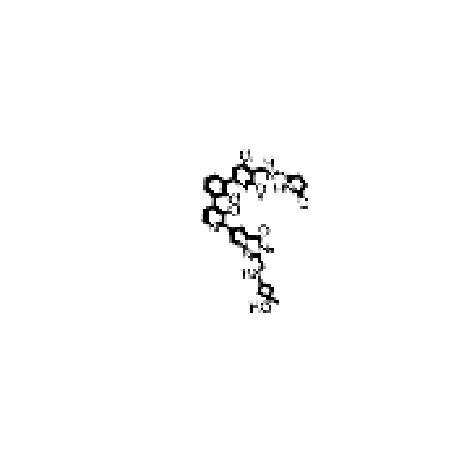 COc1nc(-c2cccc(-c3ccnc(-c4cc5c(=O)n(C)c(CNC6CC(C)(O)C6)nn5c4)c3Cl)c2Cl)cc(Cl)c1CNC[C@@H]1CCC(=O)N1